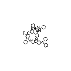 FC(F)(F)c1cc(-c2cc(-n3c4cc(-n5c6ccccc6c6ccccc65)ccc4c4ccc(-n5c6ccccc6c6ccccc65)cc43)ccc2-c2nc(-c3ccccc3)nc(-c3ccccc3)n2)cc(C(F)(F)F)c1